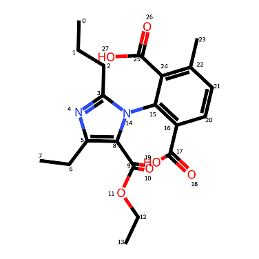 CCCc1nc(CC)c(C(=O)OCC)n1-c1c(C(=O)O)ccc(C)c1C(=O)O